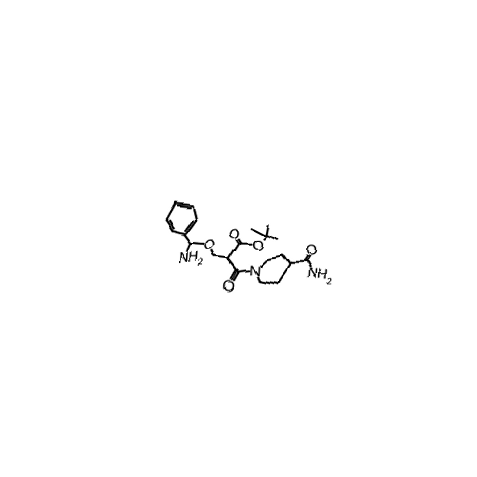 CC(C)(C)OC(=O)C(COC(N)c1ccccc1)C(=O)N1CCC(C(N)=O)CC1